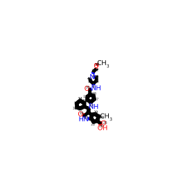 COCCN1CCC(NC(=O)c2ccc(N/C(=C3/C(=O)Nc4cc(C(=O)O)c(C)cc43)c3ccccc3)cc2)CC1